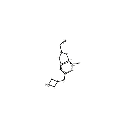 OCC1Cc2cc(OC3CNC3)cc(F)c2C1